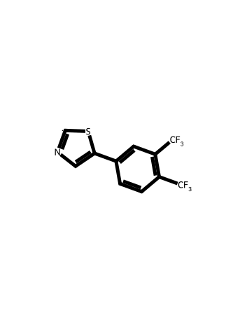 FC(F)(F)c1ccc(-c2cn[c]s2)cc1C(F)(F)F